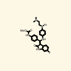 COC(=O)Nc1ccc(C(Nc2ccc(N(CCN(C)C)C(C)=O)cc2)=C2C(=O)Nc3cc(F)ccc32)cc1